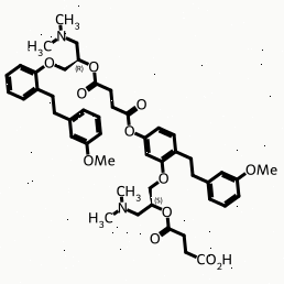 COc1cccc(CCc2ccc(OC(=O)CCC(=O)O[C@@H](COc3ccccc3CCc3cccc(OC)c3)CN(C)C)cc2OC[C@H](CN(C)C)OC(=O)CCC(=O)O)c1